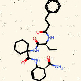 CC[C@H](NC(=O)CCc1ccccc1)C(=O)NC1(C(=O)NC2C=CCC[C@@H]2C(N)=O)CCCCC1